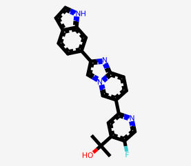 CC(C)(O)c1cc(-c2ccc3nc(-c4ccc5cc[nH]c5c4)cn3c2)ncc1F